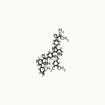 Cc1ccc(CNc2nccc3c2c(-c2ccc(NC(=O)c4cncc(-c5ccc(F)cc5)c4O)cc2)nn3C2CCN(C(=O)C(C)C)CC2)cc1C